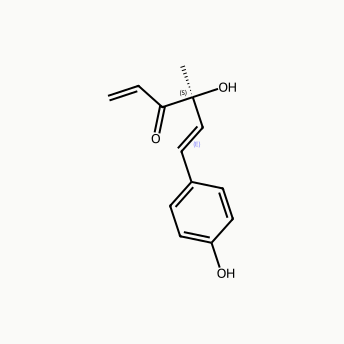 C=CC(=O)[C@@](C)(O)/C=C/c1ccc(O)cc1